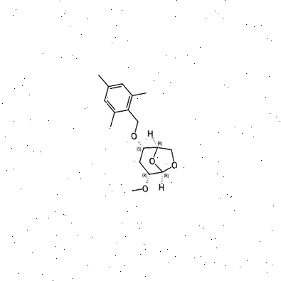 CO[C@@H]1C[C@H](OCc2c(C)cc(C)cc2C)[C@H]2CO[C@@H]1O2